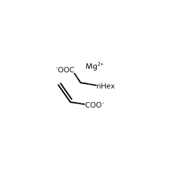 C=CC(=O)[O-].CCCCCCCC(=O)[O-].[Mg+2]